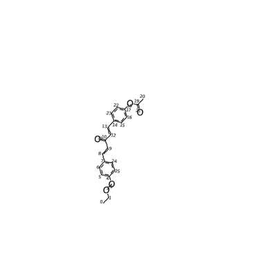 CCOOc1ccc(/C=C/C(=O)/C=C/c2ccc(OC(C)=O)cc2)cc1